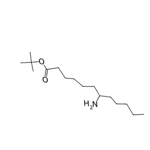 CCCCCC(N)CCCCCC(=O)OC(C)(C)C